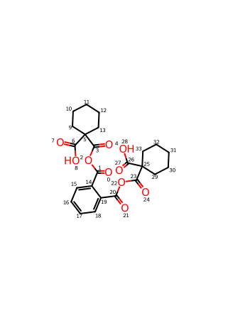 O=C(OC(=O)C1(C(=O)O)CCCCC1)c1ccccc1C(=O)OC(=O)C1(C(=O)O)CCCCC1